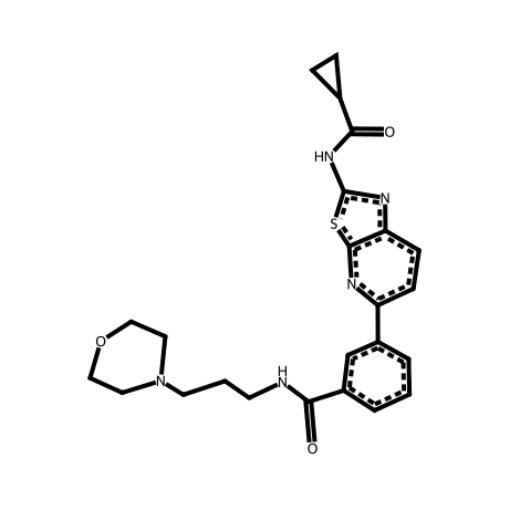 O=C(NCCCN1CCOCC1)c1cccc(-c2ccc3nc(NC(=O)C4CC4)sc3n2)c1